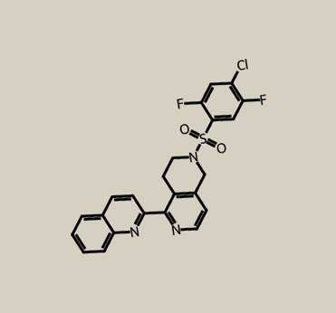 O=S(=O)(c1cc(F)c(Cl)cc1F)N1CCc2c(ccnc2-c2ccc3ccccc3n2)C1